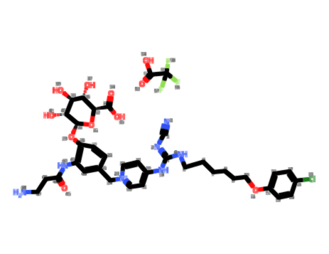 N#C/N=C(\NCCCCCCOc1ccc(Cl)cc1)Nc1cc[n+](Cc2ccc(O[C@@H]3O[C@H](C(=O)O)[C@@H](O)[C@H](O)[C@H]3O)c(NC(=O)CCN)c2)cc1.O=C(O)C(F)(F)F